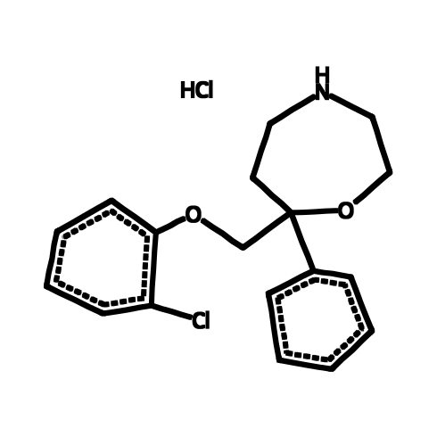 Cl.Clc1ccccc1OCC1(c2ccccc2)CCNCCO1